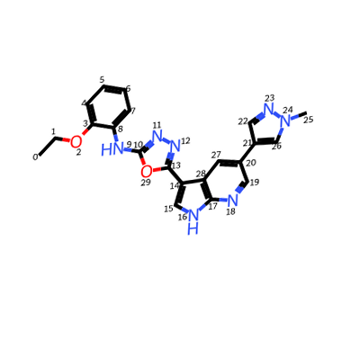 CCOc1ccccc1Nc1nnc(-c2c[nH]c3ncc(-c4cnn(C)c4)cc23)o1